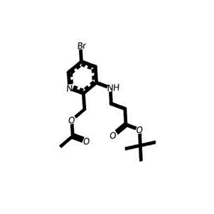 CC(=O)OCc1ncc(Br)cc1NCCC(=O)OC(C)(C)C